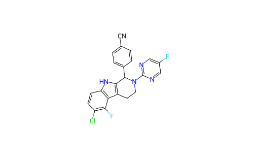 N#Cc1ccc(C2c3[nH]c4ccc(Cl)c(F)c4c3CCN2c2ncc(F)cn2)cc1